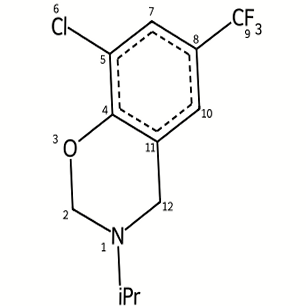 CC(C)N1COc2c(Cl)cc(C(F)(F)F)cc2C1